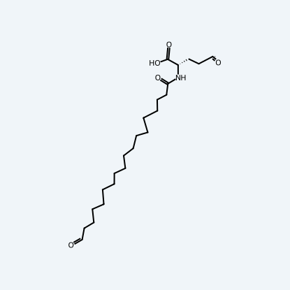 O=[C]CC[C@H](NC(=O)CCCCCCCCCCCCCCCCC=O)C(=O)O